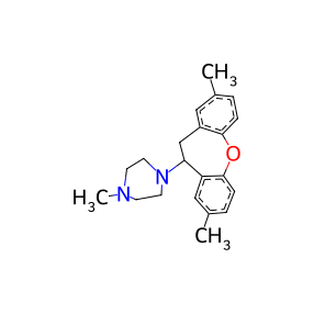 Cc1ccc2c(c1)CC(N1CCN(C)CC1)c1cc(C)ccc1O2